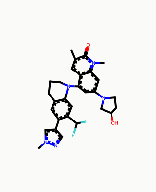 Cc1cc2c(N3CCCc4cc(-c5cnn(C)c5)c(C(F)F)cc43)cc(N3CC[C@@H](O)C3)cc2n(C)c1=O